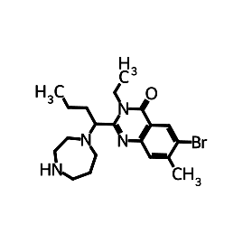 CCCC(c1nc2cc(C)c(Br)cc2c(=O)n1CC)N1CCCNCC1